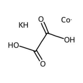 O=C(O)C(=O)O.[Co].[KH]